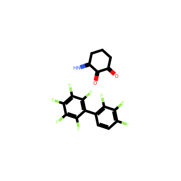 Fc1ccc(-c2c(F)c(F)c(F)c(F)c2F)c(F)c1F.N=C1CCCC(=O)C1=O